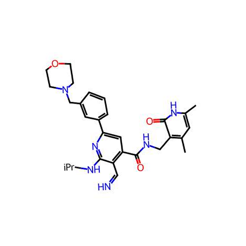 Cc1cc(C)c(CNC(=O)c2cc(-c3cccc(CN4CCOCC4)c3)nc(NC(C)C)c2C=N)c(=O)[nH]1